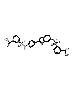 O=C(O)c1cccc(S(=O)(=O)Nc2ccc(-c3nc4cc(NS(=O)(=O)c5cccc(C(=O)O)c5)ccc4o3)cc2)c1